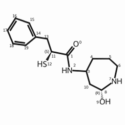 O=C(NC1CCCN[C@H](O)C1)[C@@H](S)Cc1ccccc1